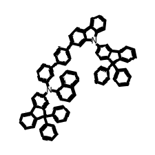 c1ccc(C2(c3ccccc3)c3ccccc3-c3cc(-n4c5ccccc5c5ccc(-c6ccc(-c7cccc(N(c8ccc9c(c8)C(c8ccccc8)(c8ccccc8)c8ccccc8-9)c8cccc9ccccc89)c7)cc6)cc54)ccc32)cc1